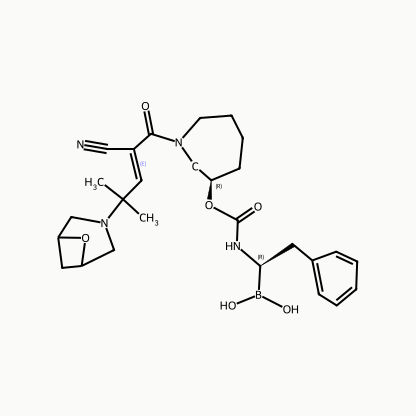 CC(C)(/C=C(\C#N)C(=O)N1CCCC[C@@H](OC(=O)N[C@@H](Cc2ccccc2)B(O)O)C1)N1CC2CC(C1)O2